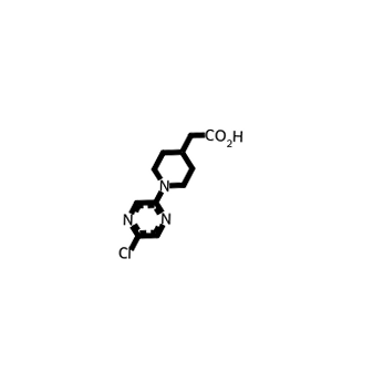 O=C(O)CC1CCN(c2cnc(Cl)cn2)CC1